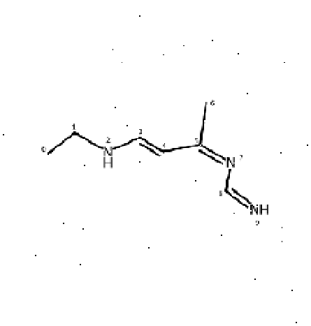 CCN/C=C/C(C)=N\C=N